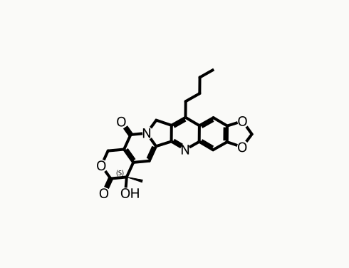 CCCCc1c2c(nc3cc4c(cc13)OCO4)-c1cc3c(c(=O)n1C2)COC(=O)[C@@]3(C)O